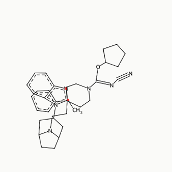 Cc1nc2ccccc2n1C1CC2CCC(C1)N2CCC1(c2ccccc2)CCN(C(=NC#N)OC2CCCC2)CC1